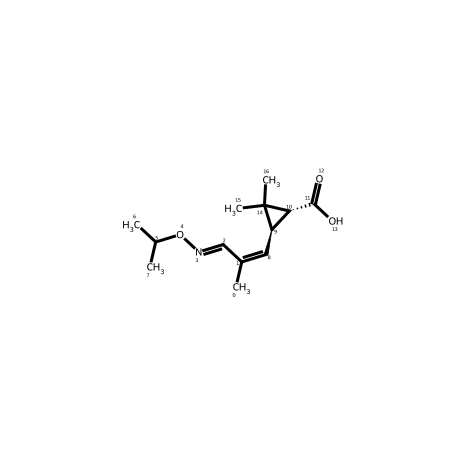 CC(C=NOC(C)C)=C[C@@H]1[C@@H](C(=O)O)C1(C)C